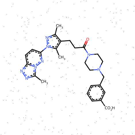 Cc1nn(-c2ccc3nnc(C)n3n2)c(C)c1CCC(=O)N1CCN(Cc2cccc(C(=O)O)c2)CC1